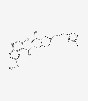 COc1ccc2ncc(Cl)c(C(N)CCC3CCN(CCSc4ccc(F)s4)CC3C(=O)O)c2c1